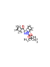 CC(C)(C)OC(=O)NN(CCC(=O)c1ccccc1)Cc1ccccc1